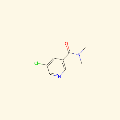 CN(C)C(=O)c1cncc(Cl)c1